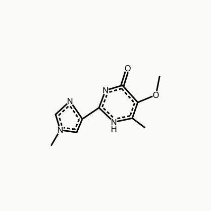 COc1c(C)[nH]c(-c2cn(C)cn2)nc1=O